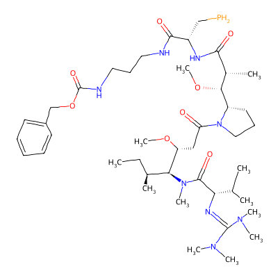 CC[C@H](C)[C@@H]([C@@H](CC(=O)N1CCC[C@H]1[C@H](OC)[C@@H](C)C(=O)N[C@@H](CP)C(=O)NCCCNC(=O)OCc1ccccc1)OC)N(C)C(=O)[C@@H](N=C(N(C)C)N(C)C)C(C)C